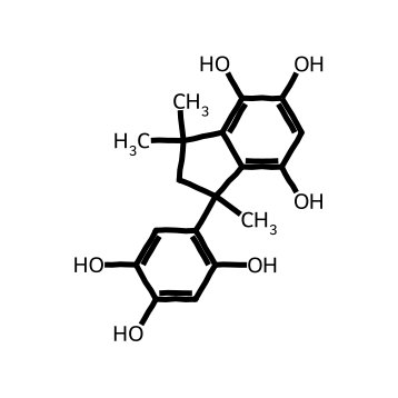 CC1(C)CC(C)(c2cc(O)c(O)cc2O)c2c(O)cc(O)c(O)c21